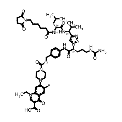 CCn1cc(C(=O)O)c(=O)c2cc(F)c(N3CCN(C(=O)OCc4ccc(NC(=O)[C@H](CCCNC(N)=O)n5cc([C@@H](NC(=O)[C@@H](CC(C)C)NC(=O)CCCCCN6C(=O)CCC6=O)C(C)C)nn5)cc4)CC3)cc21